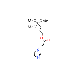 CO[Si](CCCOC(=O)CCn1ccnc1)(OC)OC